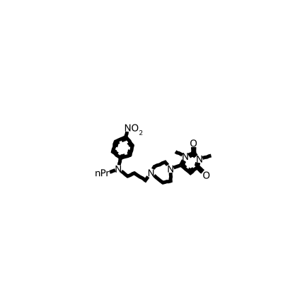 CCCN(CCCN1CCN(c2cc(=O)n(C)c(=O)n2C)CC1)c1ccc([N+](=O)[O-])cc1